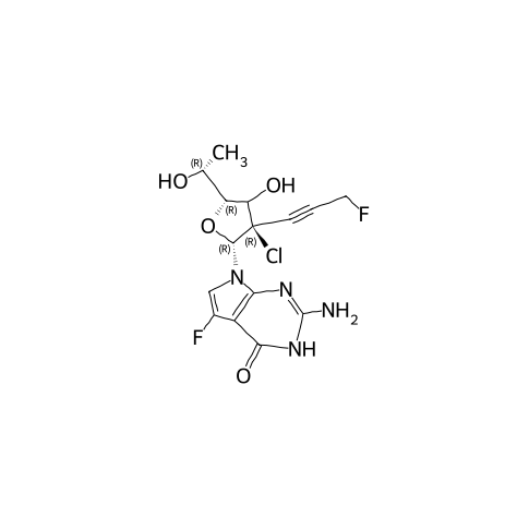 C[C@@H](O)[C@H]1O[C@@H](n2cc(F)c3c(=O)[nH]c(N)nc32)[C@@](Cl)(C#CCF)C1O